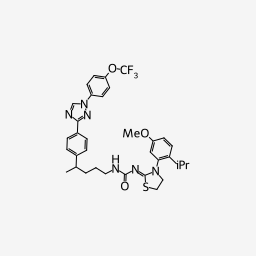 COc1ccc(C(C)C)c(N2CCS/C2=N\C(=O)NCCCC(C)c2ccc(-c3ncn(-c4ccc(OC(F)(F)F)cc4)n3)cc2)c1